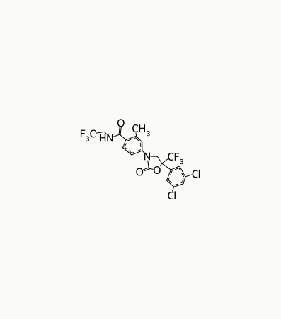 Cc1cc(N2CC(c3cc(Cl)cc(Cl)c3)(C(F)(F)F)OC2=O)ccc1C(=O)NCC(F)(F)F